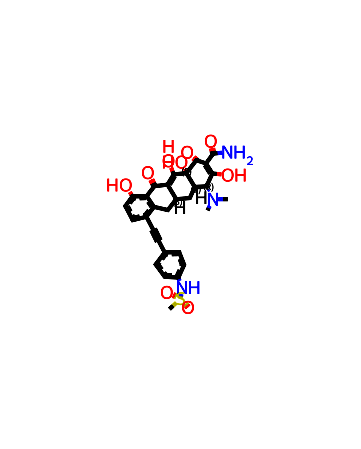 CN(C)[C@H]1C(O)=C(C(N)=O)C(=O)[C@@]2(O)C(O)=C3C(=O)c4c(O)ccc(C#Cc5ccc(NS(C)(=O)=O)cc5)c4C[C@@H]3C[C@@H]12